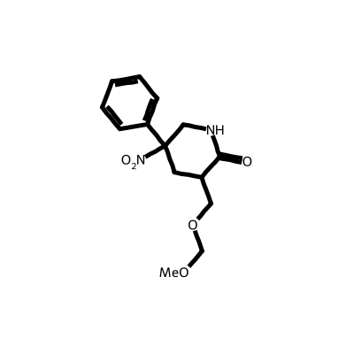 COCOCC1CC(c2ccccc2)([N+](=O)[O-])CNC1=O